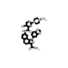 CN1CCN(c2ncc(Cl)c(C(=O)Nc3ccc4c(c3)-c3c(c(C(N)=O)nn3-c3ccc5c(c3)OCO5)CC4)n2)CC1